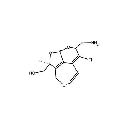 C[C@]1(CO)OB2OC(CN)C(Cl)=C3C=COCC1=C23